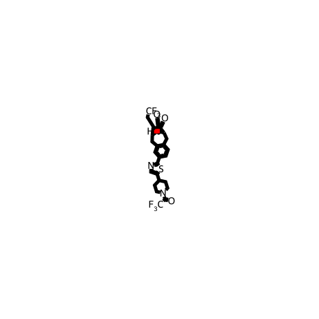 O=C(N1CCC(c2cnc(-c3ccc4c(c3)CC3CCC(C4)C34CN(CC(F)(F)F)S(=O)(=O)N4)s2)CC1)C(F)(F)F